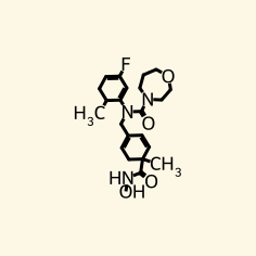 CC1CC=C(F)C=C1N(CC1=CCC(C)(C(=O)NO)C=C1)C(=O)N1CCCOCC1